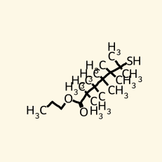 CCCOC(=O)C(C)(C)C(C)(C)C(C)(C)C(C)(C)C(C)(C)S